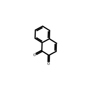 O=C1C=[C]c2ccccc2C1=O